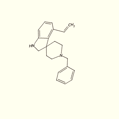 C=Cc1cccc2c1C1(CCN(Cc3ccccc3)CC1)CN2